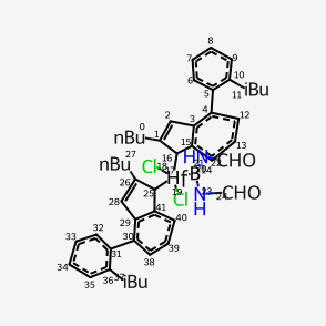 CCCCC1=Cc2c(-c3ccccc3C(C)CC)cccc2[CH]1[Hf]([Cl])([Cl])([B](NC=O)NC=O)[CH]1C(CCCC)=Cc2c(-c3ccccc3C(C)CC)cccc21